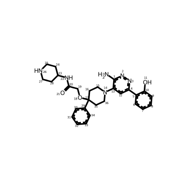 Nc1nnc(-c2ccccc2O)cc1N1CCC(OCC(=O)NC2CCNCC2)(c2ccccc2)CC1